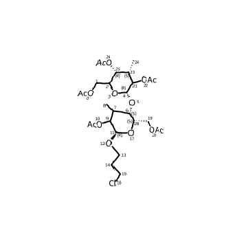 CC(=O)OCC1O[C@@H](O[C@H]2C(C)C(OC(C)=O)[C@H](OCCCCl)O[C@H]2COC(C)=O)C(OC(C)=O)[C@@H](C)[C@H]1OC(C)=O